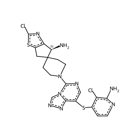 Nc1nccc(Sc2cnc(N3CCC4(CC3)Cc3sc(Cl)nc3[C@H]4N)n3cnnc23)c1Cl